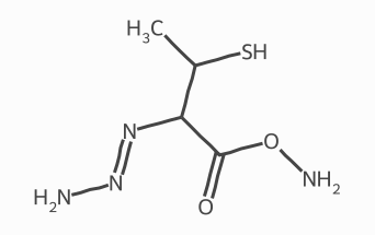 CC(S)C(N=NN)C(=O)ON